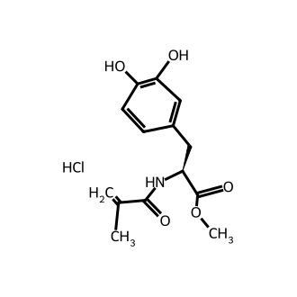 C=C(C)C(=O)N[C@@H](Cc1ccc(O)c(O)c1)C(=O)OC.Cl